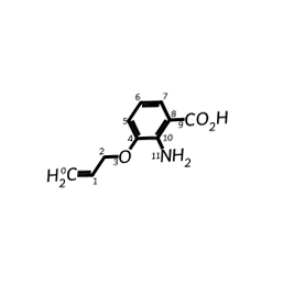 C=CCOc1cccc(C(=O)O)c1N